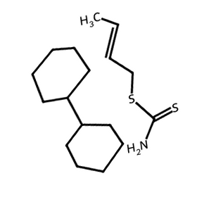 C/C=C/CSC(N)=S.C1CCC(C2CCCCC2)CC1